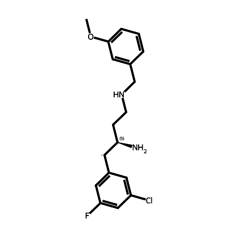 COc1cccc(CNCC[C@@H](N)[CH]c2cc(F)cc(Cl)c2)c1